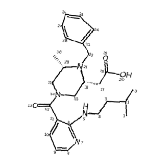 CC(C)CCNc1ncccc1C(=O)N1C[C@@H](CC(=O)O)N(Cc2ccccc2)[C@@H](C)C1